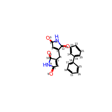 O=C1C=C(CC2=CC(=O)NC2=O)C(=O)N1.c1ccc(-c2ccccc2)cc1